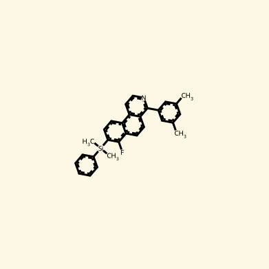 Cc1cc(C)cc(-c2nccc3c2ccc2c(F)c([Si](C)(C)c4ccccc4)ccc23)c1